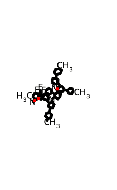 Cc1ccc(-c2ccc3c(c2)c2cc(-c4ccc(C)cc4)ccc2n3-c2ccc(-c3ccc(C#N)cc3C(F)(F)F)cc2-c2c(C#N)cccc2-n2c3ccc(-c4ccc(C)cc4)cc3c3cc(-c4ccc(C)cc4)ccc32)cc1